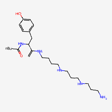 C=C(NCCCCNCCCNCCCN)C(Cc1ccc(O)cc1)NC(=O)CCCC